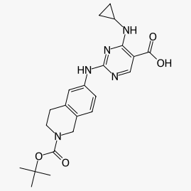 CC(C)(C)OC(=O)N1CCc2cc(Nc3ncc(C(=O)O)c(NC4CC4)n3)ccc2C1